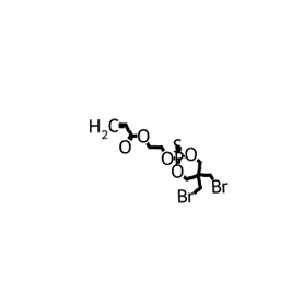 C=CC(=O)OCCOP1(=S)OCC(CBr)(CBr)CO1